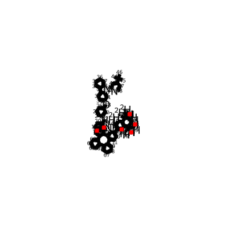 [2H]c1c([2H])c2c(c([2H])c1-c1ccc3c(c1Nc1ccccc1Nc1cccc(Oc4ccc5c6ccccc6n(-c6cc(C(C)(C)C)ccn6)c5c4)c1)-c1ccccc1-c1ccccc1-c1ccccc1-3)C(C([2H])([2H])[2H])(C([2H])([2H])[2H])C([2H])([2H])C([2H])([2H])C2(C)C([2H])([2H])[2H]